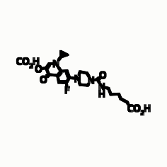 O=C(O)CCCCCNC(=O)N1CCN(c2cc3c(cc2F)c(=O)c(OC(=O)O)cn3C2CC2)CC1